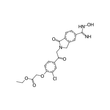 CCOC(=O)COc1ccc(C(=O)CN2Cc3cc(C(=N)NO)ccc3C2=O)cc1Cl